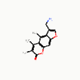 Cc1c(C)c2c(C)c3c(CN)coc3cc2oc1=O